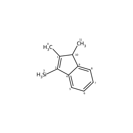 CC1=C([SiH3])c2ccccc2C1C